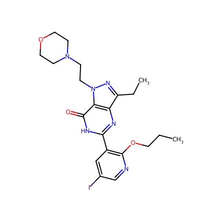 CCCOc1ncc(I)cc1-c1nc2c(CC)nn(CCN3CCOCC3)c2c(=O)[nH]1